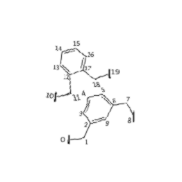 ICc1cccc(CI)c1.ICc1ccccc1CI